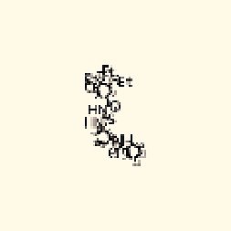 CCOc1cc(C(=O)NC(=S)Nc2cccc(NC(=O)c3ccccc3)c2)cc(OCC)c1OCC